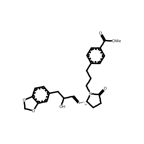 COC(=O)c1ccc(CCCN2C(=O)CC[C@@H]2C=CC(O)Cc2ccc3c(c2)OCO3)cc1